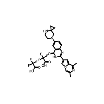 Cc1cn2nc(-c3nc4ccc(N5CCNC6(CC6)C5)cc4c(=O)[nH]3)cc2c(C)n1.O=C(O)C(F)(F)F.O=C(O)C(F)(F)F